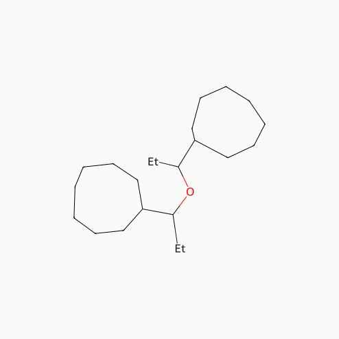 CCC(OC(CC)C1CCCCCCC1)C1CCCCCCC1